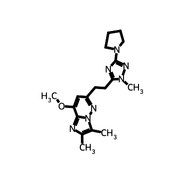 COc1cc(CCc2nc(N3CCCC3)nn2C)nn2c(C)c(C)nc12